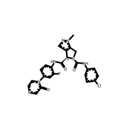 Cn1ncc2c1CN(C(=O)Nc1ccc(Cl)cc1)[C@H]2C(=O)Nc1ccc(-n2ccncc2=O)cc1F